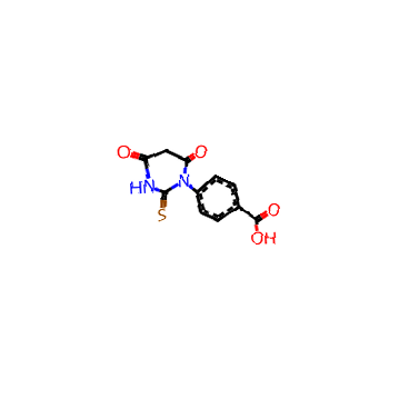 O=C1CC(=O)N(c2ccc(C(=O)O)cc2)C(=S)N1